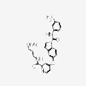 COCCCNC(=O)c1cc(Oc2ccc3c(ccn3C(=O)Nc3cccc(C(F)(F)F)c3)c2)ccn1